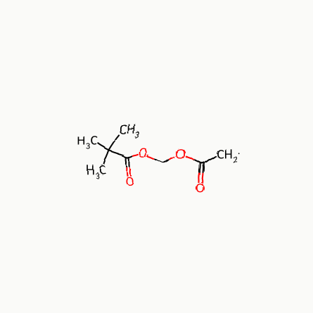 [CH2]C(=O)OCOC(=O)C(C)(C)C